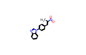 C/C(=C\c1ccc(-n2cnc3ccccc32)cc1)[N+](=O)[O-]